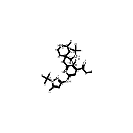 CCC(=O)c1cc(Nc2cc(C)n(C(C)(C)C)n2)nc(CC2(C(=O)OC(C)(C)C)CCNC(C)C2)c1F